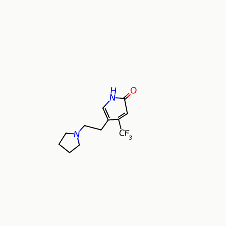 O=c1cc(C(F)(F)F)c(CCN2CCCC2)c[nH]1